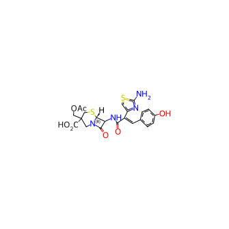 CC(=O)OCC1(C(=O)O)CS[C@@H]2C(NC(=O)C(=Cc3ccc(O)cc3)c3csc(N)n3)C(=O)N2C1